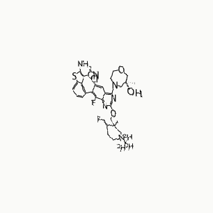 [2H]C([2H])([2H])N1CC/C(=C\F)[C@](C)(COc2nc(N3CCOC[C@@](C)(O)C3)c3cc(Cl)c(-c4cccc5sc(N)c(C#N)c45)c(F)c3n2)C1